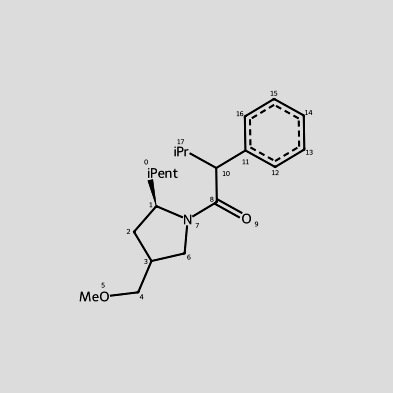 CCCC(C)[C@@H]1CC(COC)CN1C(=O)C(c1ccccc1)C(C)C